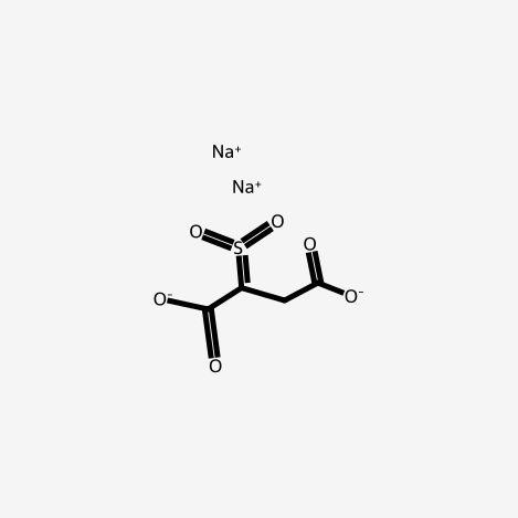 O=C([O-])CC(C(=O)[O-])=S(=O)=O.[Na+].[Na+]